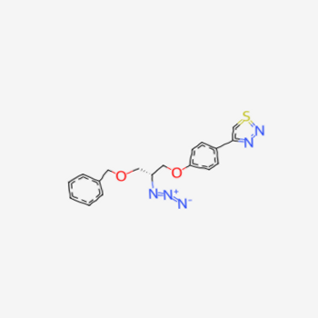 [N-]=[N+]=N[C@H](COCc1ccccc1)COc1ccc(-c2csnn2)cc1